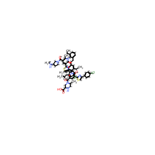 CCc1cccc(CCc2cc(CC)c(-n3c(CC(C)C)c(C(=O)N4CC(C(=O)O)NCC4C)cc(-c4nc(-c5ccc(Cl)cc5)cs4)c3=O)c(CC)c2)c1-n1c(C)c(C(=O)N2CCC(NC)C2)cc(-c2nc(-c3ccc(Cl)cc3)cs2)c1=O